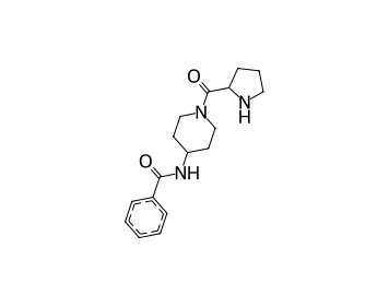 O=C(NC1CCN(C(=O)C2CCCN2)CC1)c1ccccc1